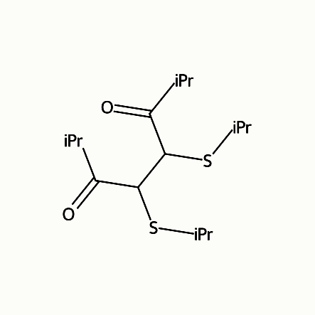 CC(C)SC(C(=O)C(C)C)C(SC(C)C)C(=O)C(C)C